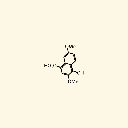 COc1ccc2c(O)c(OC)cc(C(=O)O)c2c1